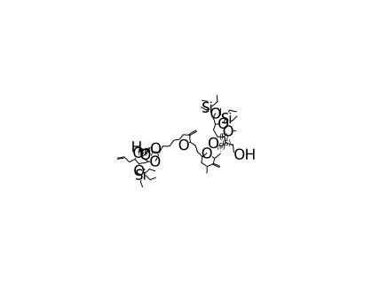 C=CCC1O[C@@H]2C3O[C@H](CCCCC4CC(=C)C(CCC5CC(C)C(=C)C(C[C@@H]6OC(CC(CO[Si](CC)(CC)CC)O[Si](CC)(CC)CC)[C@H](OC)[C@H]6CCO)O5)O4)C2OCOC3C1O[Si](CC)(CC)CC